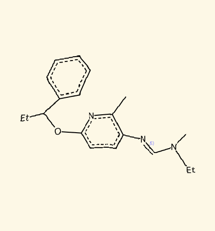 CCC(Oc1ccc(/N=C/N(C)CC)c(C)n1)c1ccccc1